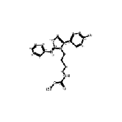 CC(C)(C)OC(=O)NCCCCn1c(-c2ccc(Br)cc2)csc1=Nc1ccccc1